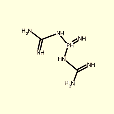 N=C(N)N[PH](=N)NC(=N)N